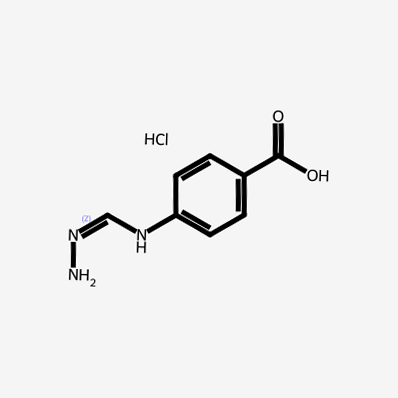 Cl.N/N=C\Nc1ccc(C(=O)O)cc1